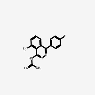 N=C(N)Nc1nnc(-c2ccc(F)cc2)c2cccc(C(F)(F)F)c12